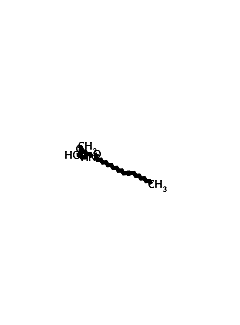 CCCCCCCCC#CCCCCCCCCCCCC(=O)NCc1ccc(O)c(OC)c1